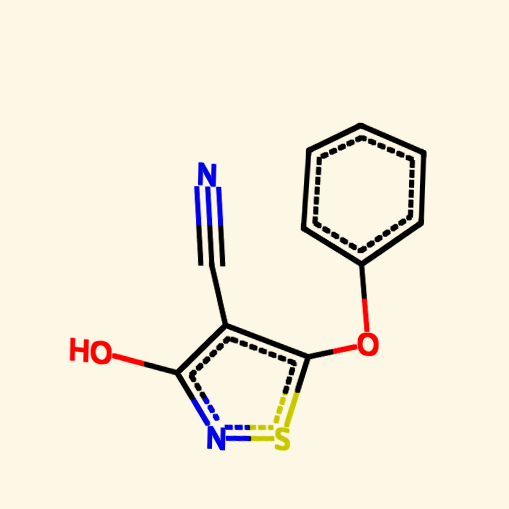 N#Cc1c(O)nsc1Oc1ccccc1